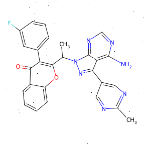 Cc1ncc(-c2nn(C(C)c3oc4ccccc4c(=O)c3-c3cccc(F)c3)c3ncnc(N)c23)cn1